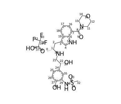 C[C@H](Cc1c[nH]c2c(C(=O)N3CCOCC3)cccc12)NC[C@H](O)c1ccc(O)c(NS(C)(=O)=O)c1.O=C(O)C(F)(F)F